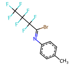 Cc1ccc(N=C(Br)C(F)(F)C(F)(F)C(F)(F)F)cc1